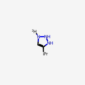 [2H]N1C=C(C(C)C)NN1